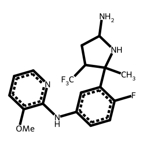 COc1cccnc1Nc1ccc(F)c(C2(C)NC(N)CC2C(F)(F)F)c1